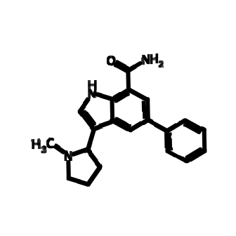 CN1CCCC1c1c[nH]c2c(C(N)=O)cc(-c3ccccc3)cc12